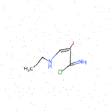 CCN/C=C(/I)C(=N)Cl